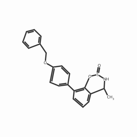 CC1NS(=O)Oc2c(-c3ccc(OCc4ccccc4)cc3)cccc21